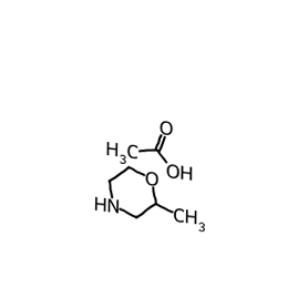 CC(=O)O.CC1CNCCO1